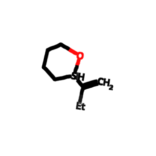 C=C(CC)[SiH]1CCCCO1